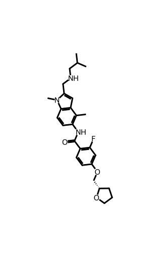 Cc1c(NC(=O)c2ccc(OC[C@@H]3CCCO3)cc2F)ccc2c1cc(CNCC(C)C)n2C